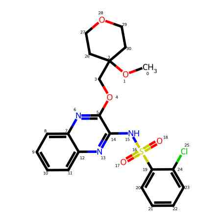 COC1(COc2nc3ccccc3nc2NS(=O)(=O)c2ccccc2Cl)CCOCC1